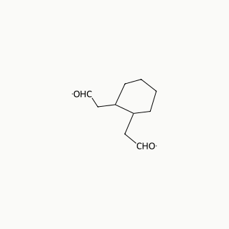 O=[C]CC1CCCCC1C[C]=O